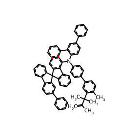 C=C(C)C(C)(C)c1cc(-c2ccc(N(c3ccc(-c4ccccc4)cc3-c3ccccc3)c3cccc4c3-c3ccccc3C43c4ccccc4-c4ccc(-c5ccccc5)cc43)cc2)ccc1C